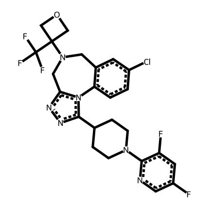 Fc1cnc(N2CCC(c3nnc4n3-c3ccc(Cl)cc3CN(C3(C(F)(F)F)COC3)C4)CC2)c(F)c1